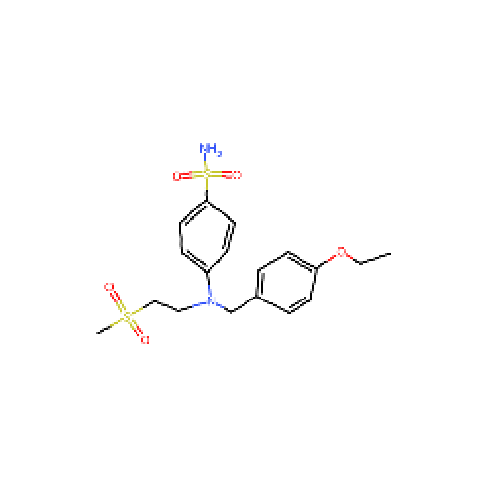 CCOc1ccc(CN(CCS(C)(=O)=O)c2ccc(S(N)(=O)=O)cc2)cc1